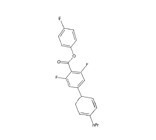 CCCC1=CCC(c2cc(F)c(C(=O)Oc3ccc(F)cc3)c(F)c2)C=C1